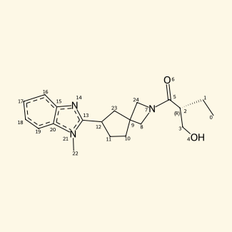 CC[C@H](CO)C(=O)N1CC2(CCC(c3nc4ccccc4n3C)C2)C1